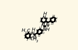 Cc1cccc(C)c1NC(=O)c1ccc(Nc2nc3c(c(-c4ccccc4)n2)CNCC3)cc1